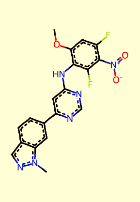 COc1cc(F)c([N+](=O)[O-])c(F)c1Nc1cc(-c2ccc3cnn(C)c3c2)ncn1